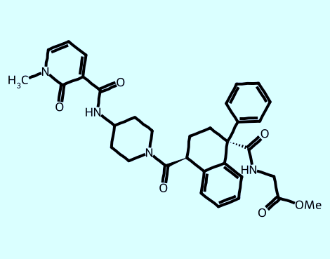 COC(=O)CNC(=O)[C@@]1(c2ccccc2)CC[C@H](C(=O)N2CCC(NC(=O)c3cccn(C)c3=O)CC2)c2ccccc21